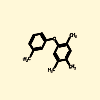 [CH2]c1cccc(Oc2cc(C)c(C)cc2C)c1